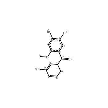 COc1cc(Br)c(F)cc1C(=O)C1C=C(F)C=CC1